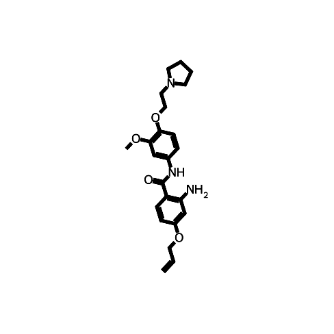 C=CCOc1ccc(C(=O)Nc2ccc(OCCN3CCCC3)c(OC)c2)c(N)c1